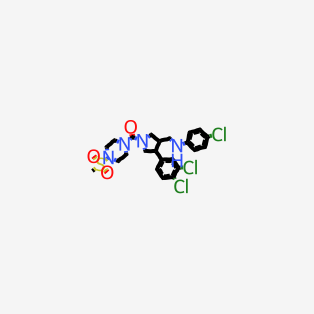 CS(=O)(=O)N1CCN(C(=O)N2CC(CNc3ccc(Cl)cc3)C(c3ccc(Cl)c(Cl)c3)C2)CC1